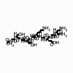 CC(=O)NCC(=O)NC(CO)C(=O)NCC(=O)NC(CC(=O)O)C(=O)NCC(=O)NC(CCCCN)C(=O)NCC(=O)N[C@H](CCC(=O)O)C(=O)NCC(=O)NC(CC(N)=O)C(N)=O